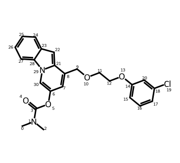 CN(C)C(=O)Oc1cc(COCCOc2cccc(Cl)c2)c2cc3ccccc3n2c1